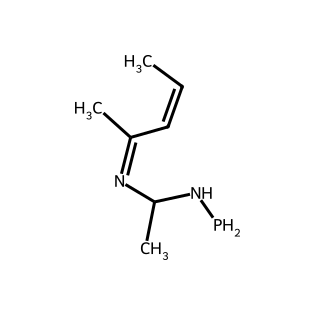 C/C=C\C(C)=N/C(C)NP